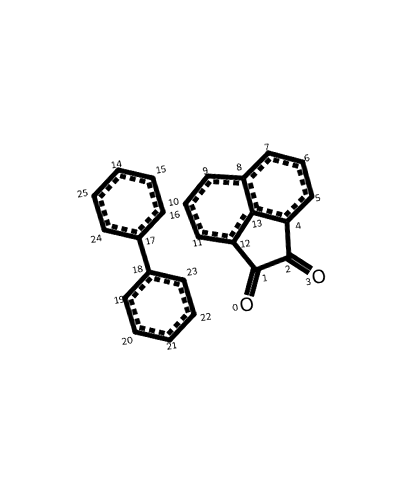 O=C1C(=O)c2cccc3cccc1c23.c1ccc(-c2ccccc2)cc1